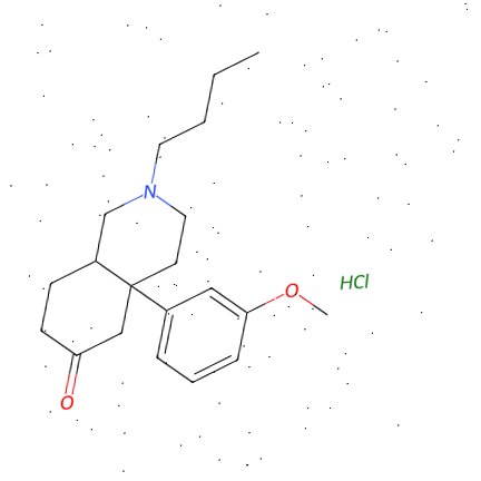 CCCCN1CCC2(c3cccc(OC)c3)CC(=O)CCC2C1.Cl